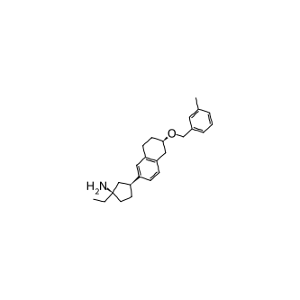 CC[C@@]1(N)CC[C@H](c2ccc3c(c2)CC[C@@H](OCc2cccc(C)c2)C3)C1